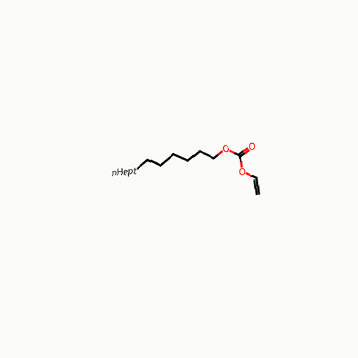 C=COC(=O)OCCCCCCCCCCCCC